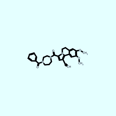 C#Cc1cc(C(=O)N2CCCN(C(=O)c3ccccc3)CC2)n2c1-c1cc(OC)c(OC)cc1CC2